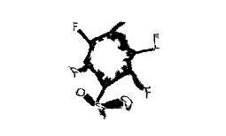 Cc1c(F)c(F)c(S(C)(=O)=O)c(F)c1F